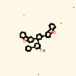 N#Cc1cc(-c2ccccc2)cc(-c2cc(-c3ccc4oc5ccccc5c4c3)ccc2-c2ccc3oc4ccccc4c3c2)c1